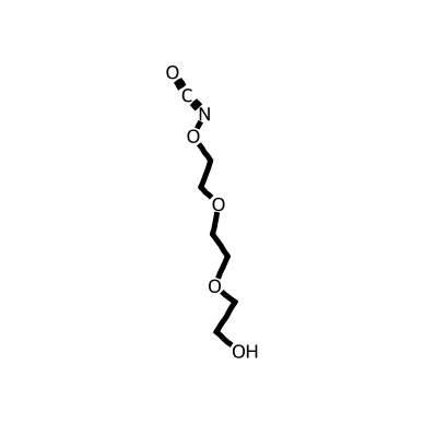 O=C=NOCCOCCOCCO